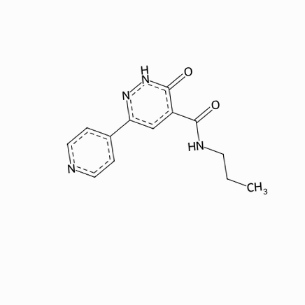 CCCNC(=O)c1cc(-c2ccncc2)n[nH]c1=O